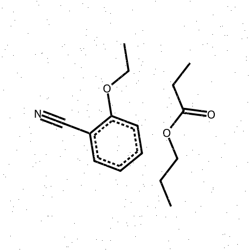 CCCOC(=O)CC.CCOc1ccccc1C#N